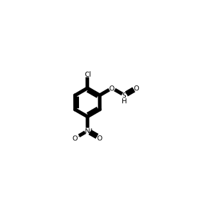 O=[SH]Oc1cc([N+](=O)[O-])ccc1Cl